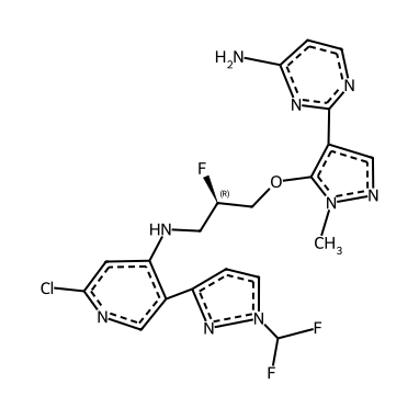 Cn1ncc(-c2nccc(N)n2)c1OC[C@H](F)CNc1cc(Cl)ncc1-c1ccn(C(F)F)n1